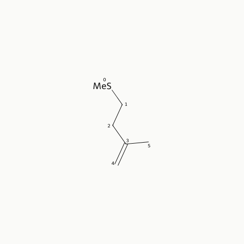 [CH2]SCCC(=C)C